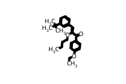 CCCCOC(=Cc1cccc(C(C)(C)C)c1)C(=O)c1ccc(OCC)cc1